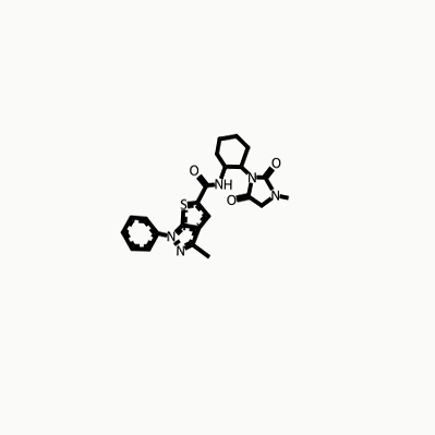 Cc1nn(-c2ccccc2)c2sc(C(=O)NC3CCCCC3N3C(=O)CN(C)C3=O)cc12